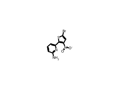 Nc1cccc(-c2sc(Br)cc2[N+](=O)[O-])n1